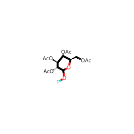 CC(=O)OC[C@H]1OC(OF)[C@H](OC(C)=O)[C@@H](OC(C)=O)[C@@H]1OC(C)=O